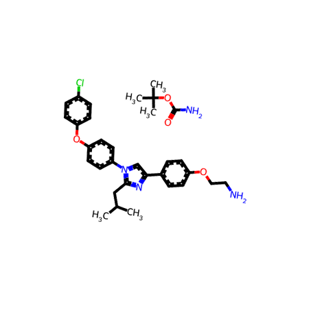 CC(C)(C)OC(N)=O.CC(C)Cc1nc(-c2ccc(OCCN)cc2)cn1-c1ccc(Oc2ccc(Cl)cc2)cc1